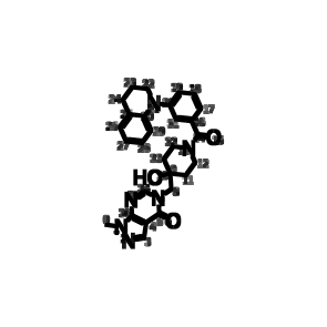 Cn1ncc2c(=O)n(CC3(O)CCN(C(=O)c4cccc(N5CCCc6ccccc65)c4)CC3)cnc21